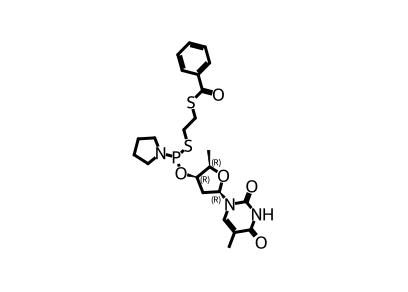 Cc1cn([C@H]2C[C@@H](OP(SCCSC(=O)c3ccccc3)N3CCCC3)[C@@H](C)O2)c(=O)[nH]c1=O